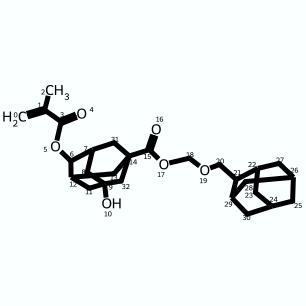 C=C(C)C(=O)OC1C2CC3(O)CC1CC(C(=O)OCOCC1C4CC5CC(C4)CC1C5)(C2)C3